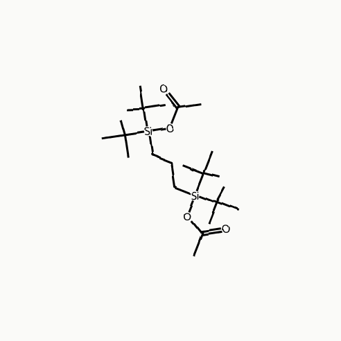 CC(=O)O[Si](CCC[Si](OC(C)=O)(C(C)(C)C)C(C)(C)C)(C(C)(C)C)C(C)(C)C